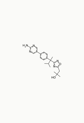 CC(C)C(C)(c1ccc(-c2cnc(N)nc2)cc1)c1noc(CC(C)(C)O)n1